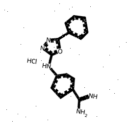 Cl.N=C(N)c1ccc(Nc2nnc(-c3ccccc3)o2)cc1